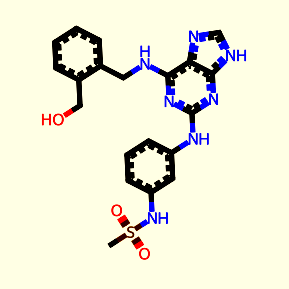 CS(=O)(=O)Nc1cccc(Nc2nc(NCc3ccccc3CO)c3nc[nH]c3n2)c1